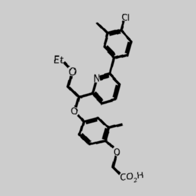 CCOCC(Oc1ccc(OCC(=O)O)c(C)c1)c1cccc(-c2ccc(Cl)c(C)c2)n1